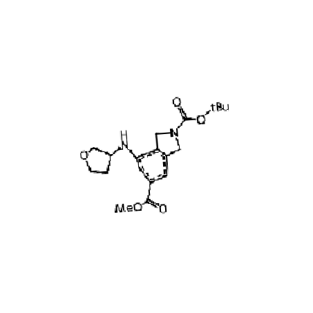 COC(=O)c1cc2c(c(N[C@H]3CCOC3)c1)CN(C(=O)OC(C)(C)C)C2